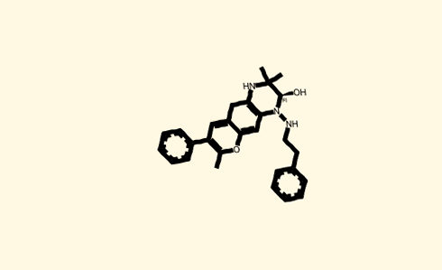 CC1=C(c2ccccc2)C=C2CC3=C(C=C2O1)N(NCCc1ccccc1)[C@H](O)C(C)(C)N3